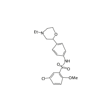 CCN1CCOC(c2ccc(NS(=O)(=O)c3cc(Cl)ccc3OC)cc2)C1